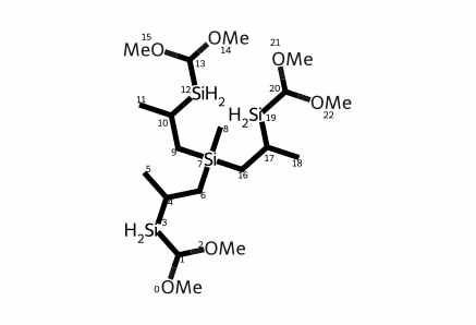 COC(OC)[SiH2]C(C)C[Si](C)(CC(C)[SiH2]C(OC)OC)CC(C)[SiH2]C(OC)OC